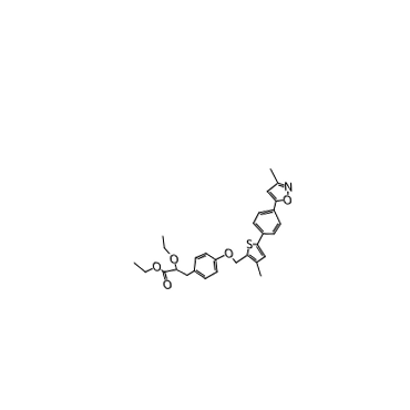 CCOC(=O)C(Cc1ccc(OCc2sc(-c3ccc(-c4cc(C)no4)cc3)cc2C)cc1)OCC